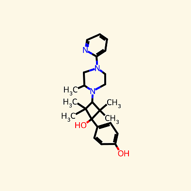 CC1CN(c2ccccn2)CCN1C1C(C)(C)C(O)(c2ccc(O)cc2)C1(C)C